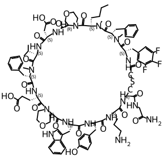 CCCC[C@H]1C(=O)N2CCOC[C@@H]2C(=O)N[C@@H](CC(=O)O)C(=O)N[C@@H](C(C)C)C(=O)N(C)[C@@H](Cc2ccccc2)C(=O)N[C@@H](CCC(=O)O)C(=O)N2CCOC[C@@H]2C(=O)N[C@@H](Cc2c[nH]c3ccccc23)C(=O)N[C@@H](Cc2ccc(O)cc2)C(=O)N[C@@H](CCCN)C(=O)N[C@H](C(=O)NCC(N)=O)CSCC(=O)N[C@@H](Cc2cc(F)c(F)c(F)c2)C(=O)N(C)[C@@H](Cc2ccccc2)C(=O)N1C